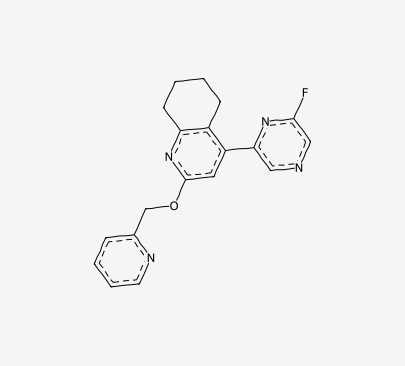 Fc1cncc(-c2cc(OCc3ccccn3)nc3c2CCCC3)n1